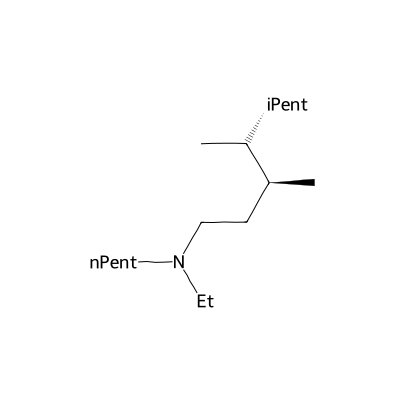 CCCCCN(CC)CC[C@H](C)C(C)[C@@H](C)CCC